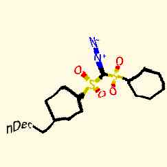 CCCCCCCCCCCC1CCC(S(=O)(=O)C(=[N+]=[N-])S(=O)(=O)C2CCCCC2)CC1